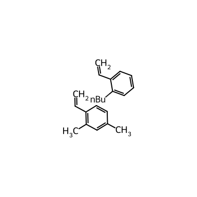 C=Cc1ccc(C)cc1C.C=Cc1ccccc1CCCC